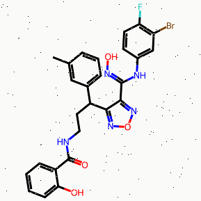 Cc1cccc(C(CCNC(=O)c2ccccc2O)c2nonc2C(=NO)Nc2ccc(F)c(Br)c2)c1